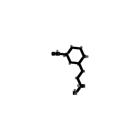 CCNCCC1CN(C=O)CCO1